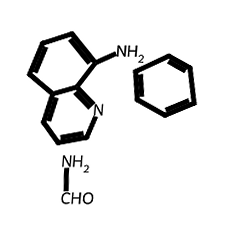 NC=O.Nc1cccc2cccnc12.c1ccccc1